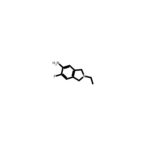 CCN1Cc2cc(N)c(F)cc2C1